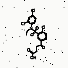 CCN(c1ccc(Cl)cc1Cl)S(=O)(=O)c1cc(C(=O)CCC(=O)O)ccc1Cl